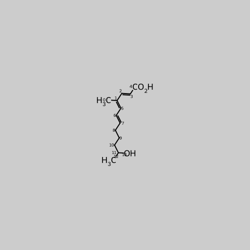 CC(C=CC(=O)O)=CC=CCCCC(C)O